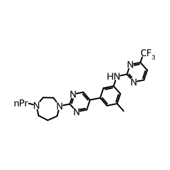 CCCN1CCCN(c2ncc(-c3cc(C)cc(Nc4nccc(C(F)(F)F)n4)c3)cn2)CC1